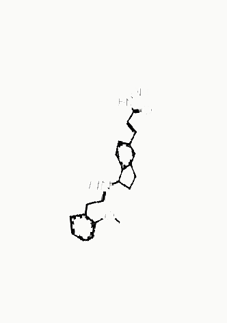 COc1ccccc1CCNC1CCc2cc(/C=C/C(=O)NO)ccc21